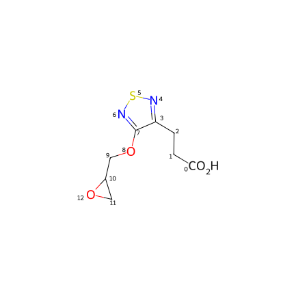 O=C(O)CCc1nsnc1OCC1CO1